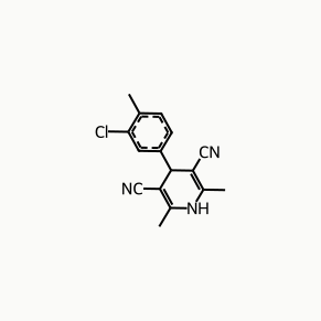 CC1=C(C#N)C(c2ccc(C)c(Cl)c2)C(C#N)=C(C)N1